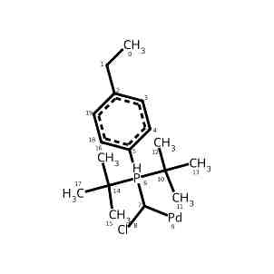 CCc1ccc([PH]([CH](Cl)[Pd])(C(C)(C)C)C(C)(C)C)cc1